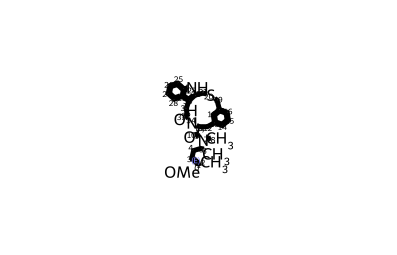 CO/C(C)=C/CC(C)N(C)C(=O)[C@@H]1Cc2cccc(c2)CSCc2[nH]c3ccccc3c2CC(=O)N1